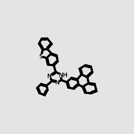 c1ccc(C2=NC(c3ccc4c5ccccc5c5ccccc5c4c3)NC(c3ccc4c(c3)sc3ccccc34)=N2)cc1